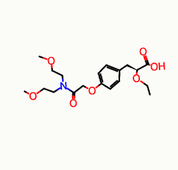 CCO[C@@H](Cc1ccc(OCC(=O)N(CCOC)CCOC)cc1)C(=O)O